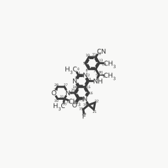 Cc1nc(N[C@H](C)c2cccc(C#N)c2C)c2cn(C3(CF)CC3)c(=O)c(N3CCOCC3(C)C)c2n1